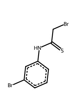 S=C(CBr)Nc1cccc(Br)c1